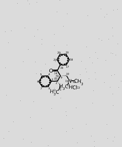 CC[C@H](c1ccccc1)[C@@H](CN(C)C)C(=O)c1ccccc1.Cl